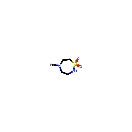 CC(C)N1CCNS(=O)(=O)CC1